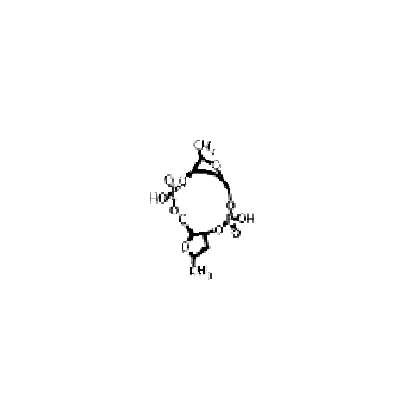 CC1CC2OP(=O)(O)OCC3CC(OP(=O)(O)OCC2O1)C(C)O3